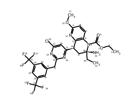 CCOC(=O)N1c2ccc(OC)nc2[C@H](c2cc(Cl)nc(Cc3cc(C(F)(F)F)cc(C(F)(F)F)c3)n2)C[C@@]1(N)CC